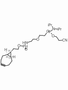 CC(C)N(C(C)C)P(OCCC#N)OCCOCCN[PH](=O)OCC[C@@H]1[C@@H]2CCC#CCC[C@@H]21